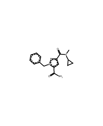 CN(C(=O)c1cc(C(N)=O)n(Cc2ccccc2)n1)C1CC1